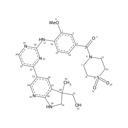 COc1cc(C(=O)N2CCS(=O)(=O)CC2)ccc1Nc1nccc(-c2cnc3c(c2)C(C)(CO)CN3)n1